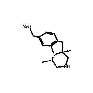 COCc1ccc2c(c1)N1[C@@H](CNC[C@H]1C)C2